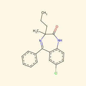 CCCC1(C)N=C(c2ccccc2)c2cc(Cl)ccc2NC1=O